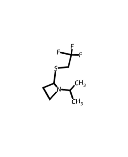 CC(C)N1CCC1SCC(F)(F)F